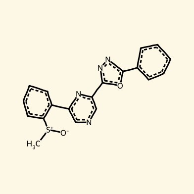 C[S+]([O-])c1ccccc1-c1cncc(-c2nnc(-c3ccccc3)o2)n1